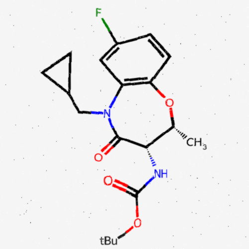 C[C@H]1Oc2ccc(F)cc2N(CC2CC2)C(=O)[C@H]1NC(=O)OC(C)(C)C